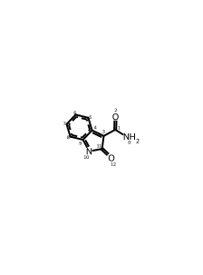 NC(=O)C1=c2ccccc2=NC1=O